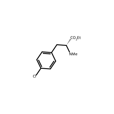 CCOC(=O)[C@@H](Cc1ccc(Cl)cc1)NC